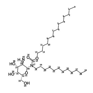 CCCCCCCCCCCCCCOC(=O)N(CCCCCCCCCCCC)[C@@H]1O[C@H](CO)[C@H](O)[C@H](O)[C@H]1N